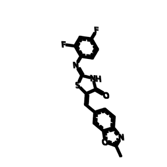 Cc1nc2ccc(C=C3SC(=Nc4ccc(F)cc4F)NC3=O)cc2o1